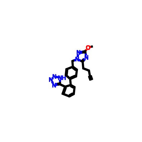 C#CCCc1nc(OC)nn1Cc1ccc(-c2ccccc2-c2nnn[nH]2)cc1